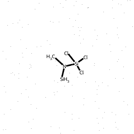 CN([SiH3])[Si](Cl)(Cl)Cl